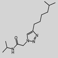 CC(C)CCCCc1cn(CC(=O)NC(C)C)nn1